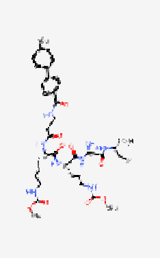 CCCCc1ccc(-c2ccc(C(=O)NCCC(=O)N[C@@H](CCCCNC(=O)OC(C)(C)C)C(=O)N[C@@H](CCCNC(=O)OC(C)(C)C)C(=O)N[C@@H](N)C(=O)N[C@@H](CC(C)C)C(=O)O)cc2)cc1